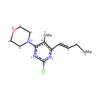 CNC/C=C/c1nc(Cl)nc(N2CCOCC2)c1SC